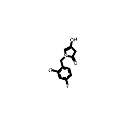 O=C1CC(O)=CN1Cc1ccc(F)cc1Cl